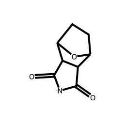 O=C1[N]C(=O)C2C3CCC(O3)C12